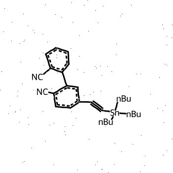 CCC[CH2][Sn]([C]#Cc1ccc(C#N)c(-c2ccccc2C#N)c1)([CH2]CCC)[CH2]CCC